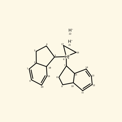 C1=CC2CC[CH]([Hf]3([CH]4CCC5C=CC=CC54)[CH2][CH2]3)C2C=C1.[H-].[H-]